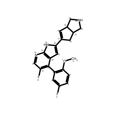 COc1ccc(F)cc1-c1c(F)cnc2[nH]c(C3=CC4CNCC4C3)cc12